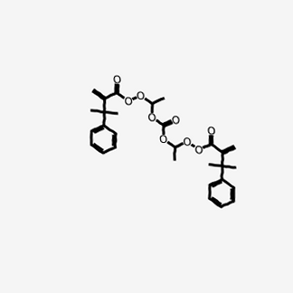 C=C(C(=O)OOC(C)OC(=O)OC(C)OOC(=O)C(=C)C(C)(C)c1ccccc1)C(C)(C)c1ccccc1